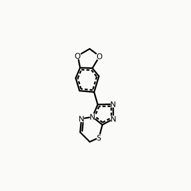 C1=Nn2c(nnc2-c2ccc3c(c2)OCO3)SC1